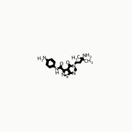 CC(C)(N)CCn1cnc2snc(C(=O)Nc3ccc(N)cc3)c2c1=O